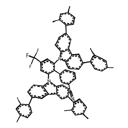 Cc1ccc(-c2ccc3c(c2)c2cc(-c4ccc(C)cc4C)ccc2n3-c2cc(C(F)(F)F)cc(-n3c4ccc(-c5ccc(C)cc5C)cc4c4cc(-c5ccc(C)cc5C)ccc43)c2-c2cccc(C#N)c2)c(C)c1